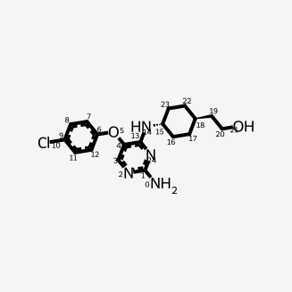 Nc1ncc(Oc2ccc(Cl)cc2)c(N[C@H]2CC[C@H](CCO)CC2)n1